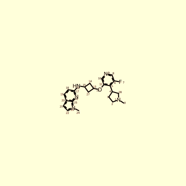 CN1CCC(c2c(F)cncc2OC2CC(Nc3ccc4ccn(C)c4n3)C2)C1